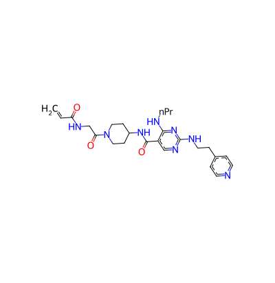 C=CC(=O)NCC(=O)N1CCC(NC(=O)c2cnc(NCCc3ccncc3)nc2NCCC)CC1